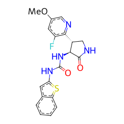 COc1cnc([C@@H]2CNC(=O)[C@H]2NC(=O)Nc2cc3ccccc3s2)c(F)c1